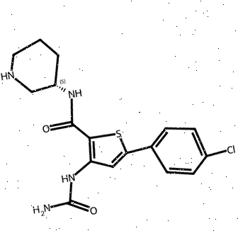 NC(=O)Nc1cc(-c2ccc(Cl)cc2)sc1C(=O)N[C@H]1CCCNC1